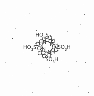 O=S(=O)(O)c1ccc(Cl)c(-c2c3nc(c(-c4c(Cl)ccc(S(=O)(=O)O)c4Cl)c4ccc([nH]4)c(-c4c(Cl)ccc(S(=O)(=O)O)c4Cl)c4nc(c(-c5c(Cl)ccc(S(=O)(=O)O)c5Cl)c5ccc2[nH]5)C=C4)C=C3)c1Cl